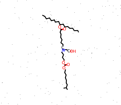 CCCCCCCCC(CCCCCCCC)OC(=O)CCCCCCCN(CCO)CCCCOC(=O)OCCCCCCCC(C)C